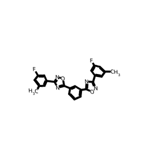 Cc1cc(F)cc(-c2noc(-c3cccc(-c4nc(-c5cc(C)cc(F)c5)no4)c3)n2)c1